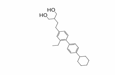 CCc1cc(CCC(CO)CO)ccc1-c1ccc(C2CCCCC2)cc1